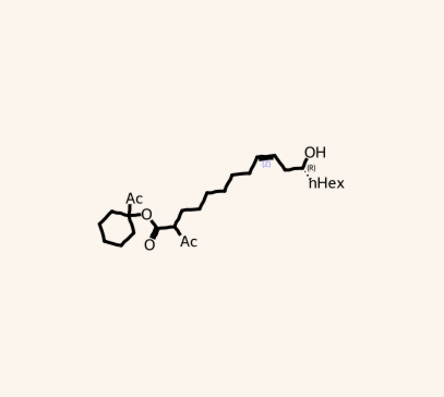 CCCCCC[C@@H](O)C/C=C\CCCCCCC(C(C)=O)C(=O)OC1(C(C)=O)CCCCC1